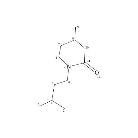 CC(C)CCN1CCC(C)CC1=O